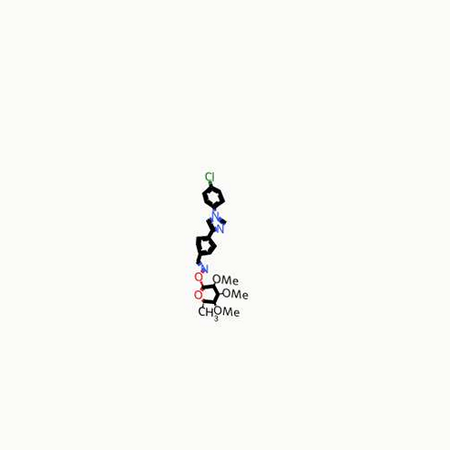 CO[C@@H]1[C@@H](OC)[C@H](C)O[C@@H](O/N=C/c2ccc(-c3cn(-c4ccc(Cl)cc4)cn3)cc2)[C@@H]1OC